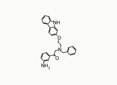 Nc1cccc(C(=O)CN(CCOc2ccc3c(c2)[nH]c2ccccc23)Cc2ccccc2)c1